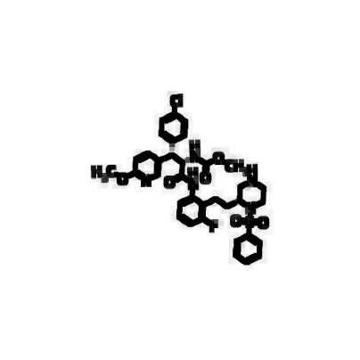 COC(=O)N[C@H](C(=O)Nc1cccc(F)c1CC[C@H]1CNCCN1S(=O)(=O)c1ccccc1)[C@@H](c1ccc(Cl)cc1)c1ccc(OC)nc1